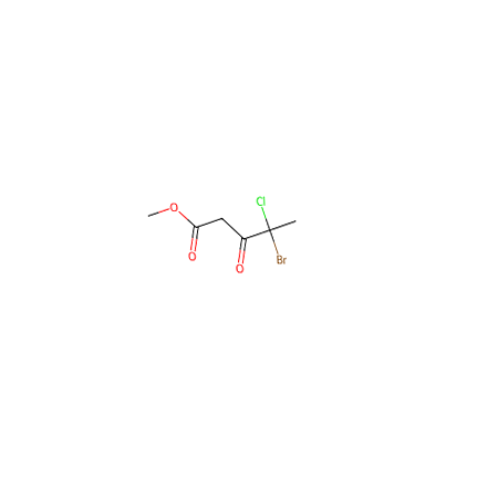 COC(=O)CC(=O)C(C)(Cl)Br